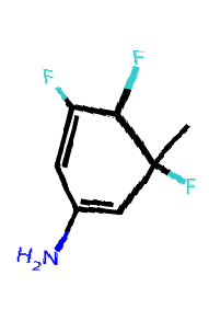 CC1(F)C=C(N)C=C(F)C1F